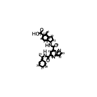 Cc1c(C(=O)O)ccc2c1CC[C@@H]2NC(=O)c1cc(C(=O)N[C@H](C)C2CCCCC2)nc2ccnn12